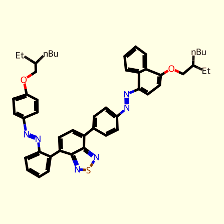 CCCCC(CC)COc1ccc(N=Nc2ccccc2-c2ccc(-c3ccc(N=Nc4ccc(OCC(CC)CCCC)c5ccccc45)cc3)c3nsnc23)cc1